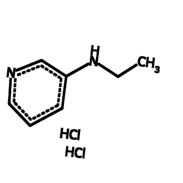 CCNc1cccnc1.Cl.Cl